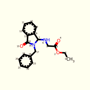 CCOC(=O)CNC1c2ccccc2C(=O)N1Cc1ccccc1